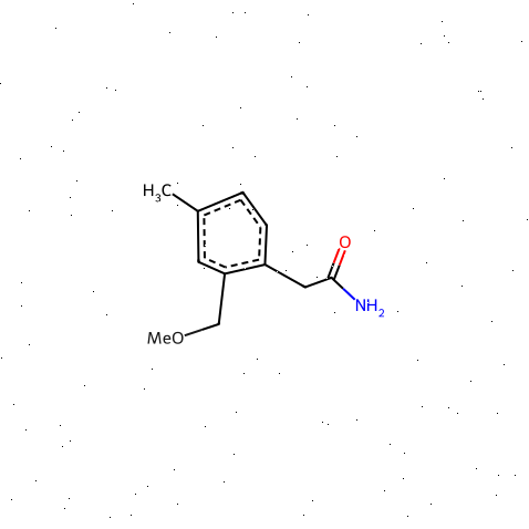 COCc1cc(C)ccc1CC(N)=O